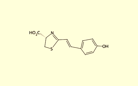 O=C(O)[C@H]1CSC(/C=C/c2ccc(O)cc2)=N1